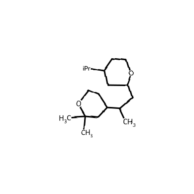 CC(C)C1CCOC(CC(C)C2CCOC(C)(C)C2)C1